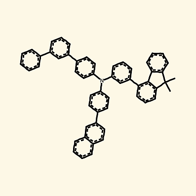 CC1(C)c2ccccc2-c2c(-c3cccc(N(c4ccc(-c5cccc(-c6ccccc6)c5)cc4)c4ccc(-c5ccc6ccccc6c5)cc4)c3)cccc21